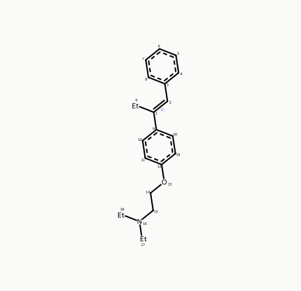 CC/C(=C\c1ccccc1)c1ccc(OCCN(CC)CC)cc1